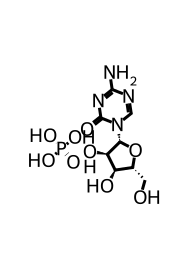 Nc1ncn([C@@H]2O[C@H](CO)[C@@H](O)[C@H]2O)c(=O)n1.O=P(O)(O)O